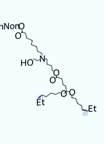 CC/C=C\CCCCOC(CCCC(=O)OCCCCN(CCO)CCCCCCCC(=O)OCCCCCCCCC)OCCCC/C=C\CC